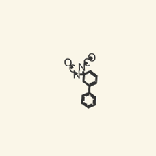 O=C=NC1(N=C=O)C=CC=C(c2ccccc2)C1